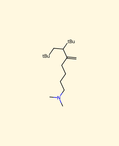 C=C(CCCCN(C)C)C(CC(C)(C)C)C(C)(C)C